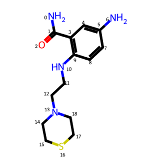 NC(=O)c1cc(N)ccc1NCCN1CCSCC1